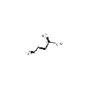 C=CC=CC(=C)[C]=O